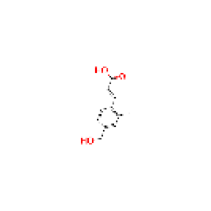 Cc1cc(CO)ccc1C=CC(=O)O